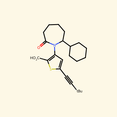 CC(C)(C)C#Cc1cc(N2C(=O)CCCCC2C2CCCCC2)c(C(=O)O)s1